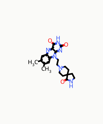 Cc1cc2nc3c(=O)[nH]c(=O)nc-3n(CCN3CCC4(CCNC4=O)CC3)c2cc1C